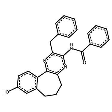 O=C(Nc1nc2c(nc1Cc1ccccc1)-c1ccc(O)cc1CCC2)c1ccccc1